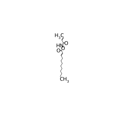 CC=CC(=O)NOC(=O)C=CCCCCCCCCC